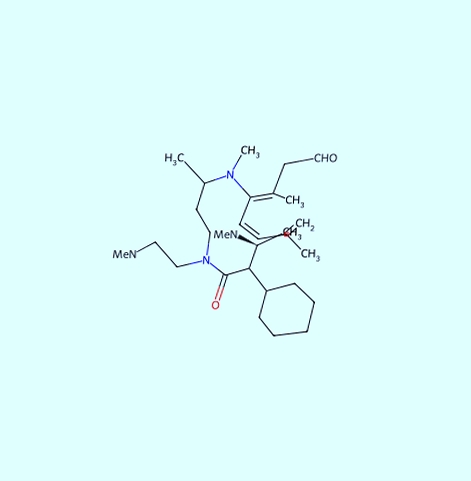 C=C(C)/C=C\C(=C(/C)CC=O)N(C)C(C)CCN(CCNC)C(=O)C(C1CCCCC1)[C@H](C)NC